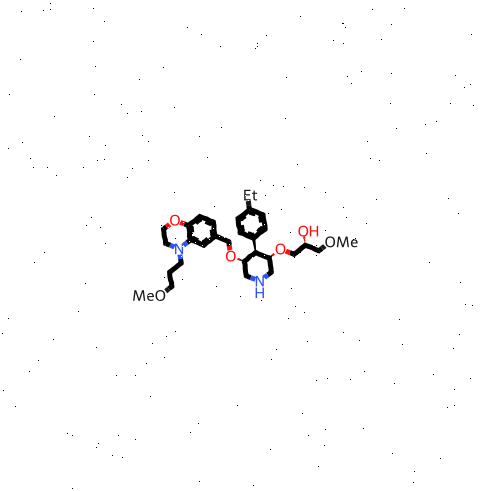 CCc1ccc([C@@H]2[C@@H](OCc3ccc4c(c3)N(CCCOC)CCO4)CNC[C@H]2OC[C@H](O)COC)cc1